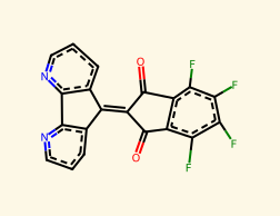 O=C1C(=C2c3cccnc3-c3ncccc32)C(=O)c2c(F)c(F)c(F)c(F)c21